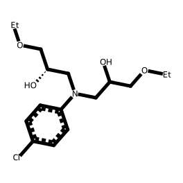 CCOCC(O)CN(C[C@H](O)COCC)c1ccc(Cl)cc1